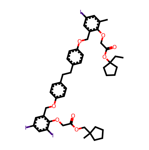 CCC1(OC(=O)COc2c(C)cc(I)cc2COc2ccc(CCc3ccc(OCc4cc(I)cc(I)c4OCC(=O)OCC4(C)CCCC4)cc3)cc2)CCCC1